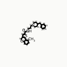 Cc1cccc2c1-c1sc(C(=O)NCCCN3CCC(Cc4ccccc4)CC3)cc1CO2